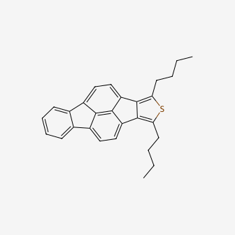 CCCCc1sc(CCCC)c2c1-c1ccc3c4c(ccc-2c14)-c1ccccc1-3